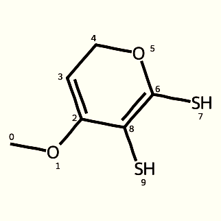 COC1=CCOC(S)=C1S